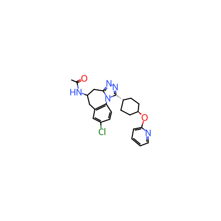 CC(=O)NC1Cc2cc(Cl)ccc2-n2c(nnc2[C@H]2CC[C@H](Oc3ccccn3)CC2)C1